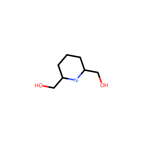 OCC1CCCC(CO)[N]1